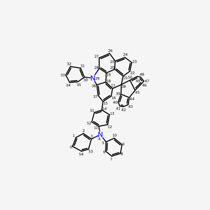 c1ccc(N(c2ccccc2)c2ccc(-c3cc4c5c6c7c(cccc7ccc6n(-c6ccccc6)c5c3)C43c4ccccc4-c4ccccc43)cc2)cc1